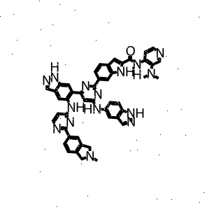 CN1Cc2ccc(-c3nccc(Nc4cc5cn[nH]c5cc4-c4cc(Nc5ccc6[nH]ncc6c5)nc(-c5ccc6cc(C(=O)Nc7ccncc7N(C)C)[nH]c6c5)n4)n3)cc2C1